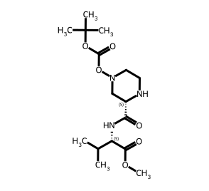 COC(=O)[C@@H](NC(=O)[C@@H]1CN(OC(=O)OC(C)(C)C)CCN1)C(C)C